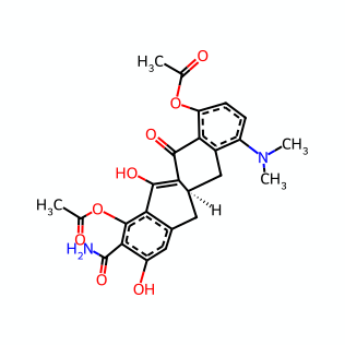 CC(=O)Oc1ccc(N(C)C)c2c1C(=O)C1=C(O)c3c(cc(O)c(C(N)=O)c3OC(C)=O)C[C@@H]1C2